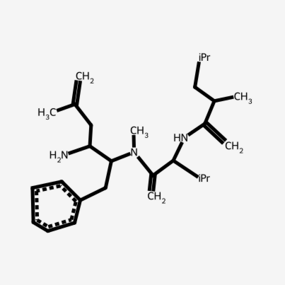 C=C(C)CC(N)C(Cc1ccccc1)N(C)C(=C)C(NC(=C)C(C)CC(C)C)C(C)C